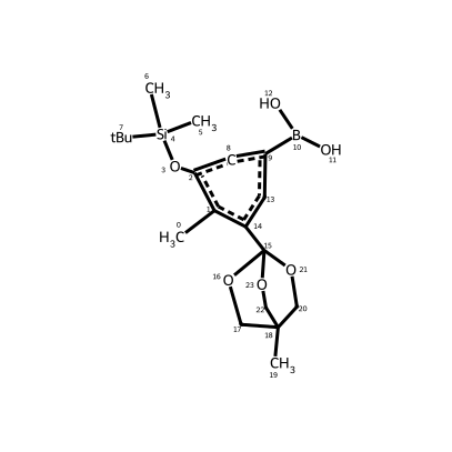 Cc1c(O[Si](C)(C)C(C)(C)C)cc(B(O)O)cc1C12OCC(C)(CO1)CO2